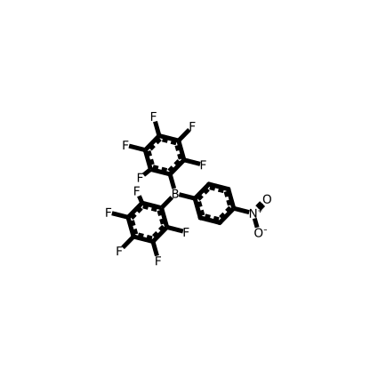 O=[N+]([O-])c1ccc(B(c2c(F)c(F)c(F)c(F)c2F)c2c(F)c(F)c(F)c(F)c2F)cc1